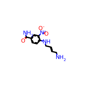 NC/C=C/CNc1ccc(C(N)=O)cc1[N+](=O)[O-]